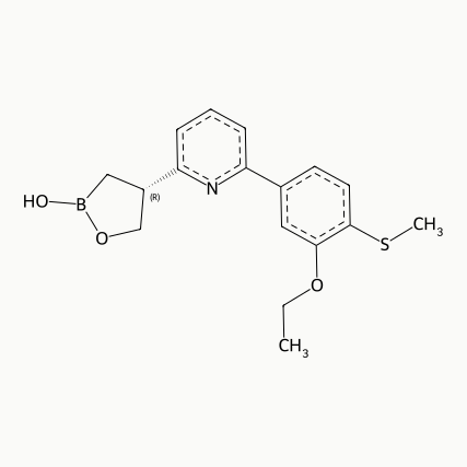 CCOc1cc(-c2cccc([C@@H]3COB(O)C3)n2)ccc1SC